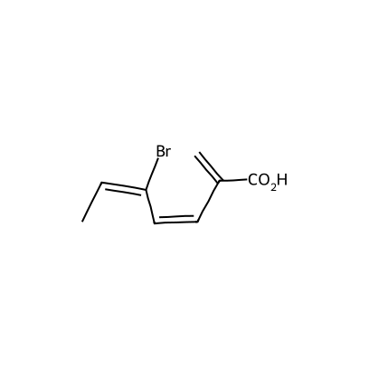 C=C(/C=C\C(Br)=C/C)C(=O)O